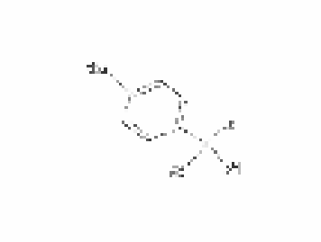 CCC(S)(CC)c1ccc(C(C)(C)C)cc1